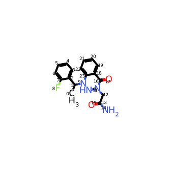 CC(c1ccccc1F)N1NN(CC(N)=O)C(=O)c2ccccc21